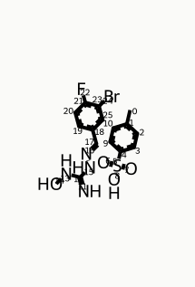 Cc1ccc(S(=O)(=O)O)cc1.N=C(NO)N/N=C/c1ccc(F)c(Br)c1